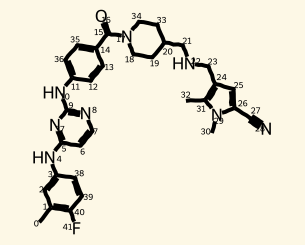 Cc1cc(Nc2ccnc(Nc3ccc(C(=O)N4CCC(CNCc5cc(C#N)n(C)c5C)CC4)cc3)n2)ccc1F